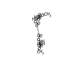 Cc1ccc(S(=O)(=O)NC(=O)Nc2cccc(C(=O)OCCCCCCCOC(=O)c3cccc(NC(=O)NS(=O)(=O)c4ccc(C)cc4)c3)c2)cc1